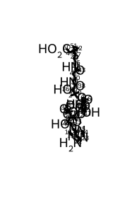 CC(C)(COP(=O)(O)OP(=O)(O)OC[C@H]1O[C@@H](n2cnc3c(N)ncnc32)[C@H](O)[C@@H]1OP(=O)(O)O)[C@@H](O)C(=O)NCCC(=O)NCCSC1(CC(=O)O)CC1